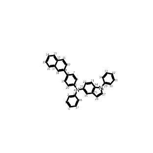 c1ccc(N(c2ccc(-c3ccc4ccccc4c3)cc2)c2ccc3c(ccn3-c3ccccc3)c2)cc1